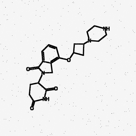 O=C1CCC(N2Cc3c(OC4CC(N5CCNCC5)C4)cccc3C2=O)C(=O)N1